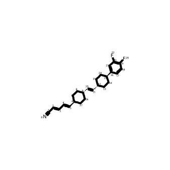 N#CC=CC=C[C@H]1CC[C@H](/C=C/[C@H]2CC[C@H](c3ccc(F)c(F)c3)CC2)CC1